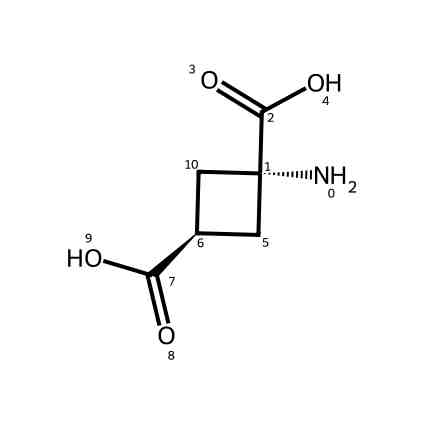 N[C@]1(C(=O)O)C[C@@H](C(=O)O)C1